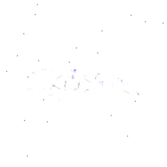 C=C/C=C\C=N/CCNC(=O)c1ccc(N)c(C(=N)c2ccc(P(C)C3CC(C)CCC(C)C3)cc2)c1